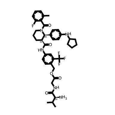 Cc1cccc(F)c1C(=O)N1CCC[C@H](C(=O)Nc2ccc(COC(=O)CNC(=O)[C@@H](N)C(C)C)c(C(F)(F)F)c2)[C@@H]1c1ccc(NC2CCCC2)cc1